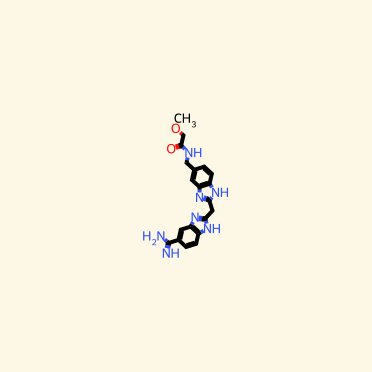 COCC(=O)NCc1ccc2[nH]c(Cc3nc4cc(C(=N)N)ccc4[nH]3)nc2c1